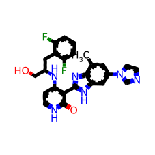 Cc1cc(-n2ccnc2)cc2[nH]c(-c3c(NC(CO)Cc4c(F)cccc4F)cc[nH]c3=O)nc12